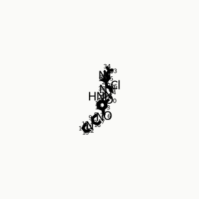 COc1cc(C(=O)N2CCC(N3CCCC3)CC2)ccc1Nc1ncc(Cl)c(-c2cnn(C(C)C)c2)n1